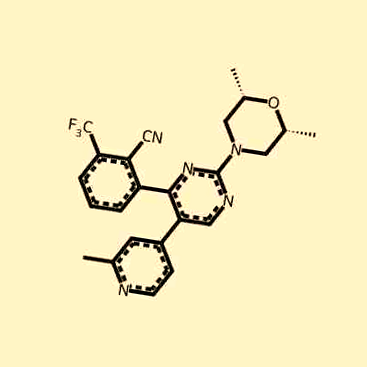 Cc1cc(-c2cnc(N3C[C@@H](C)O[C@@H](C)C3)nc2-c2cccc(C(F)(F)F)c2C#N)ccn1